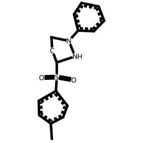 Cc1ccc(S(=O)(=O)C2CCN(c3ccccc3)N2)cc1